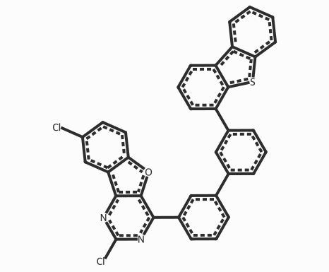 Clc1ccc2oc3c(-c4cccc(-c5cccc(-c6cccc7c6sc6ccccc67)c5)c4)nc(Cl)nc3c2c1